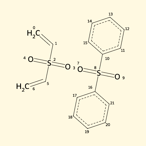 C=CS(=O)(=O)C=C.O=S(=O)(c1ccccc1)c1ccccc1